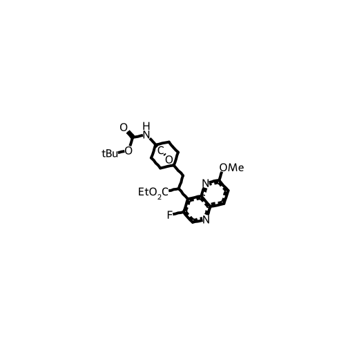 CCOC(=O)C(CC12CCC(NC(=O)OC(C)(C)C)(CC1)CO2)c1c(F)cnc2ccc(OC)nc12